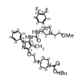 COCCN1C[C@@H](NC(=O)Nc2c(C)c(OCCN3CCN(C(=O)OC(C)(C)C)CC3)nn2-c2ccccc2)[C@H](c2ccc(F)c(F)c2)C1